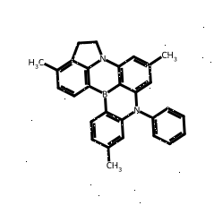 Cc1ccc2c(c1)N(c1ccccc1)c1cc(C)cc3c1B2c1ccc(C)c2c1N3CC2